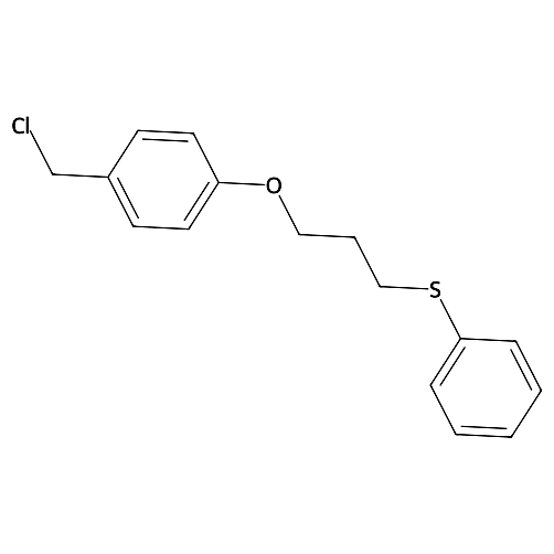 ClCc1ccc(OCCCSc2ccccc2)cc1